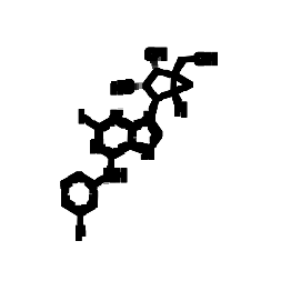 OC[C@@]12C[C@@H]1[C@@H](n1cnc3c(Nc4cccc(F)c4)nc(I)nc31)[C@H](O)[C@@H]2O